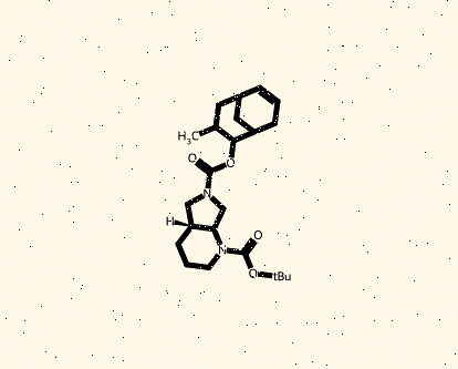 CC1CC2C=CCC(C2)C1OC(=O)N1CC2[C@H](CCCN2C(=O)OC(C)(C)C)C1